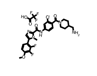 COc1ccc(-c2cnc(C(=O)Nc3ccc(C(=O)N4CCC(CN)CC4)c(Cl)c3)n2C)c(F)c1F.O=C(O)C(F)(F)F